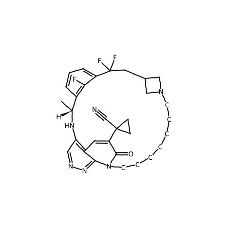 C[C@H]1Nc2cnnc3c2cc(C2(C#N)CC2)c(=O)n3CCCCCCCN2CC(C2)CC(F)(F)c2cccc1c2F